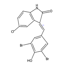 O=C1Nc2ccc(Cl)cc2/C1=C\c1cc(Br)c(O)c(Br)c1